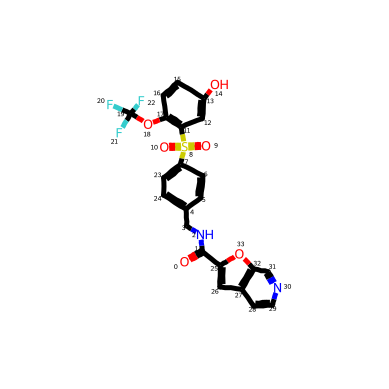 O=C(NCc1ccc(S(=O)(=O)c2cc(O)ccc2OC(F)(F)F)cc1)c1cc2ccncc2o1